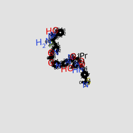 Cc1ncsc1-c1ccc([C@H](C)NC(=O)[C@@H]2C[C@@H](O)CN2C(=O)C(c2cc(N3CCC(CN4CCC(OC5CC(Oc6cc(C=C(F)c7cc(-c8ccccc8O)nnc7N)ccn6)C5)CC4)CC3)no2)C(C)C)cc1